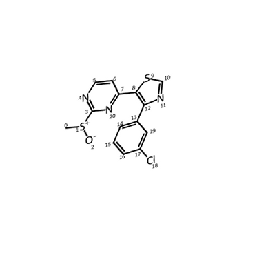 C[S+]([O-])c1nccc(-c2scnc2-c2cccc(Cl)c2)n1